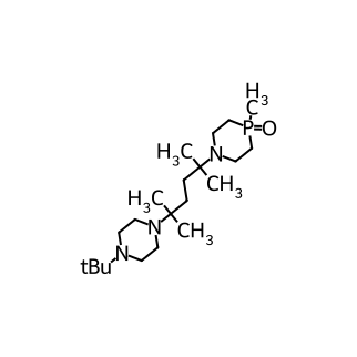 CC(C)(C)N1CCN(C(C)(C)CCC(C)(C)N2CCP(C)(=O)CC2)CC1